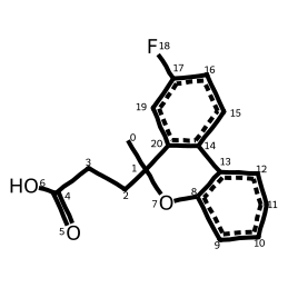 CC1(CCC(=O)O)Oc2ccccc2-c2ccc(F)cc21